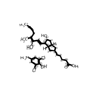 CC#CCC(C)[C@H](O)/C=C/C1[C@H](O)C[C@@H]2C/C(=C\CCCC(=O)O)C[C@H]12.Nc1cc(Cl)c(O)c(Cl)c1